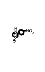 O=[N+]([O-])c1ccc(N2C3C[SH]2(=O)CCN3)cc1